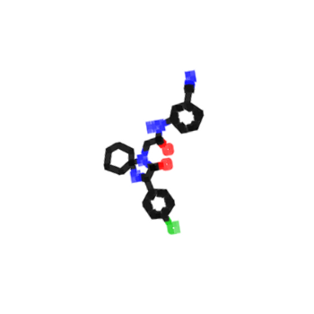 N#Cc1cccc(NC(=O)CN2C(=O)C(c3ccc(Cl)cc3)=NC23CCCCC3)c1